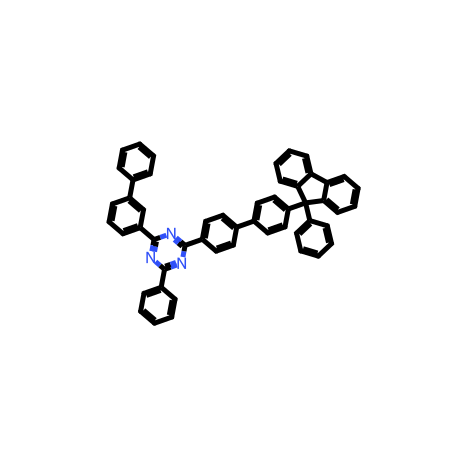 c1ccc(-c2cccc(-c3nc(-c4ccccc4)nc(-c4ccc(-c5ccc(C6(c7ccccc7)c7ccccc7-c7ccccc76)cc5)cc4)n3)c2)cc1